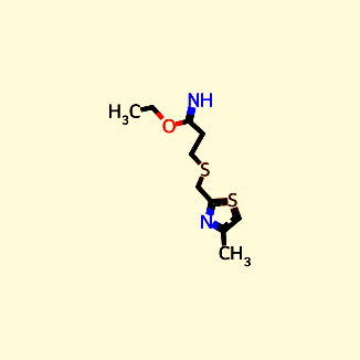 CCOC(=N)CCSCc1nc(C)cs1